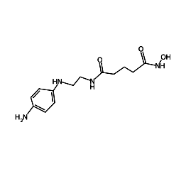 Nc1ccc(NCCNC(=O)CCCC(=O)NO)cc1